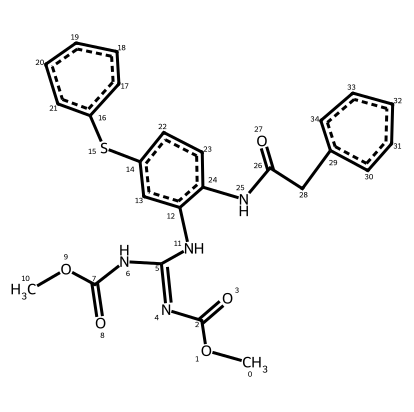 COC(=O)/N=C(/NC(=O)OC)Nc1cc(Sc2ccccc2)ccc1NC(=O)Cc1ccccc1